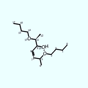 CCCCOC(C)/I=C\C(O)[C@H](C)OCCCC